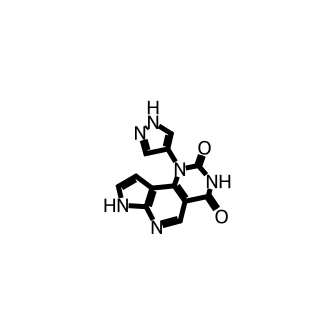 O=c1[nH]c(=O)n(-c2cn[nH]c2)c2c1cnc1[nH]ccc12